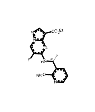 CCOC(=O)c1cnn2cc(F)c(N[C@H](C)c3cccnc3OC)nc12